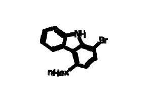 CCCCCCc1ccc(Br)c2[nH]c3ccccc3c12